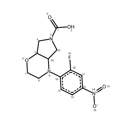 O=C(O)N1CC2OCCN(c3ccc([N+](=O)[O-])cc3F)C2C1